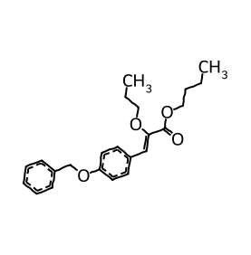 CCCCOC(=O)/C(=C/c1ccc(OCc2ccccc2)cc1)OCCC